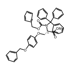 COC(=O)[C@H](COc1ccc(OCc2ccccc2)cc1)N(C(=O)OCc1ccccc1)C(c1ccccc1)(c1ccccc1)c1ccccc1